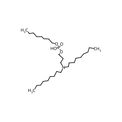 CCCCCCCCCN(CCCCCCCCC)CCCOP(=O)(O)OCCCCCCCC